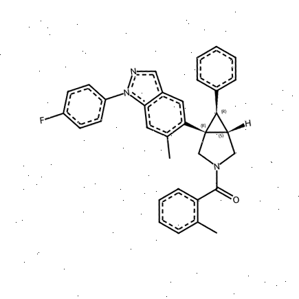 Cc1ccccc1C(=O)N1C[C@H]2[C@H](c3ccccc3)[C@@]2(c2cc3cnn(-c4ccc(F)cc4)c3cc2C)C1